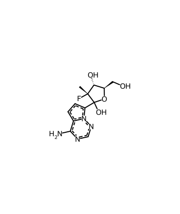 C[C@@]1(F)[C@H](O)[C@@H](CO)OC1(O)c1ccc2c(N)ncnn12